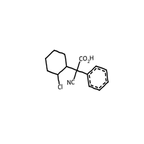 N#CC(C(=O)O)(c1ccccc1)C1CCCCC1Cl